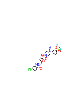 O=C(NCc1ccc(S(=O)(=O)N2CCC(Nc3cccc(S(=O)(=O)C(F)(F)F)c3)CC2)o1)c1ccc(Cl)cc1